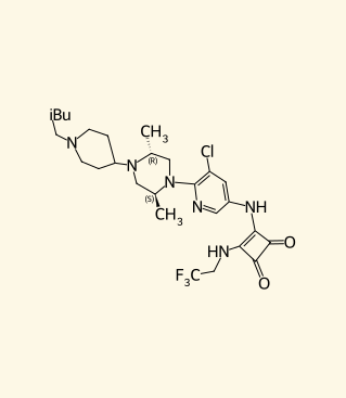 CCC(C)CN1CCC(N2C[C@H](C)N(c3ncc(Nc4c(NCC(F)(F)F)c(=O)c4=O)cc3Cl)C[C@H]2C)CC1